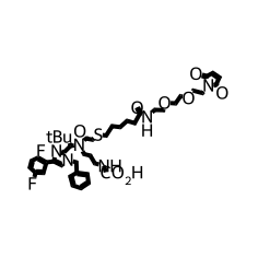 CC(C)(C)C(c1nc(-c2cc(F)ccc2F)cn1Cc1ccccc1)N(CCCNC(=O)O)C(=O)CSCCCCCC(=O)NCCOCCOCCN1C(=O)C=CC1=O